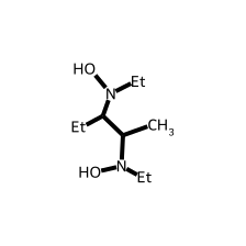 CCC(C(C)N(O)CC)N(O)CC